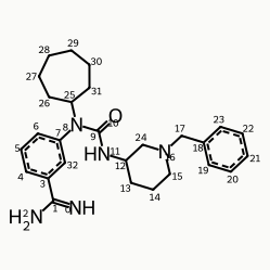 N=C(N)c1cccc(N(C(=O)NC2CCCN(Cc3ccccc3)C2)C2CCCCCC2)c1